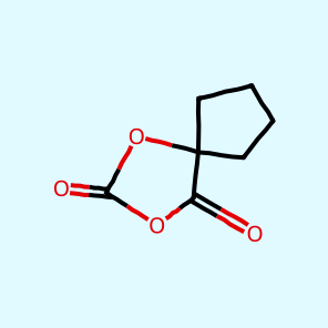 O=C1OC(=O)C2(CCCC2)O1